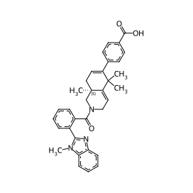 Cn1c(-c2ccccc2C(=O)N2CC=C3C(C)(C)C(c4ccc(C(=O)O)cc4)=CC[C@]3(C)C2)nc2ccccc21